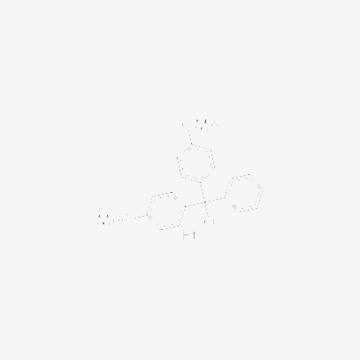 CCOC(c1ccccc1)(c1ccc(OC)cc1)c1ccc(OC)cc1